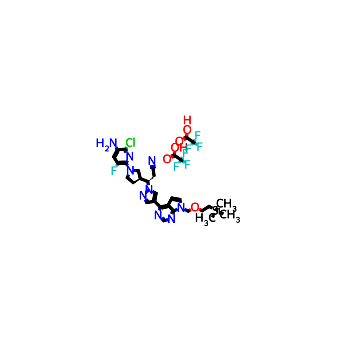 C[Si](C)(C)CCOCn1ccc2c(-c3cnn([C@@H](CC#N)[C@H]4CCN(c5nc(Cl)c(N)cc5F)C4)c3)ncnc21.O=C(O)C(F)(F)F.O=C(O)C(F)(F)F